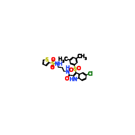 Cc1cc(C)cc(S(=O)(=O)c2c(C(=O)NCCCNS(=O)(=O)c3cccs3)[nH]c3ccc(Cl)cc23)c1